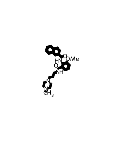 COc1cccc(C(=O)NCCCN2CCN(C)CC2)c1NC(=O)c1ccc2ccccc2c1